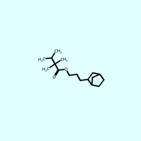 CC(C)C(C)(C)C(=O)OCCCC1CC2CCC1C2